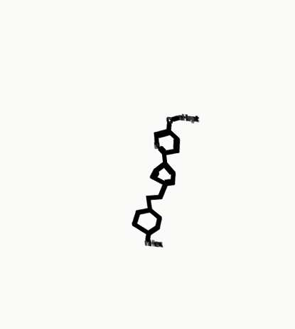 CCCCCCCOc1ccc(-c2ccc(CCC3CCC(CCCCCC)CC3)cc2)nc1